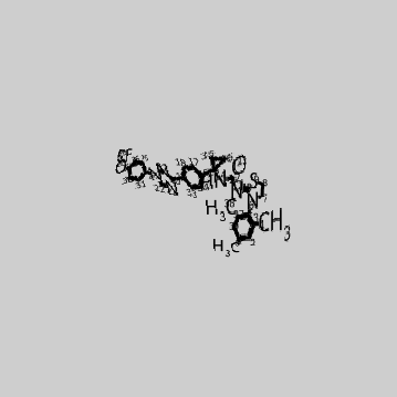 Cc1cc(C)c(N2CCS/C2=N\C(=O)NC2(c3ccc(-c4ncn(-c5ccc(OC(F)(F)F)cc5)n4)cc3)CC2)c(C)c1